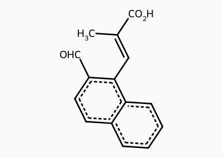 CC(=Cc1c(C=O)ccc2ccccc12)C(=O)O